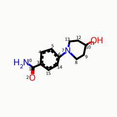 NC(=O)c1ccc(N2CCC(O)CC2)cc1